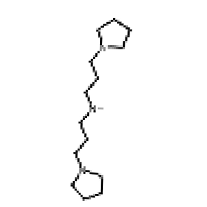 C1CCN(CCCNCCCN2CCCC2)C1